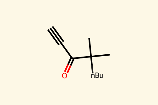 C#CC(=O)C(C)(C)CCCC